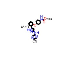 COc1cccc(O[C@H]2CC[C@H](NC(=O)OC(C)(C)C)CC2)c1-c1cc(Nc2cnc(C#N)cn2)n[nH]1